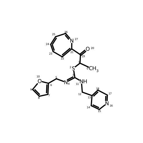 CC(S/C(=N\Cc1ccco1)NCc1ccncc1)C(=O)C1=CC=C=CC=N1